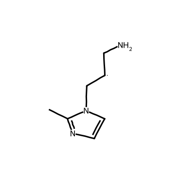 Cc1nccn1C[CH]CN